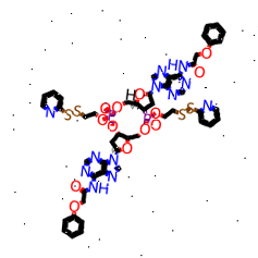 O=C(COc1ccccc1)Nc1ncnc2c1ncn2C1CC2[C@@H](COP(=O)(OCCSSc3ccccn3)OC3C[C@H](n4cnc5c(NC(=O)COc6ccccc6)ncnc54)OC3COP2(=O)OCCSSc2ccccn2)O1